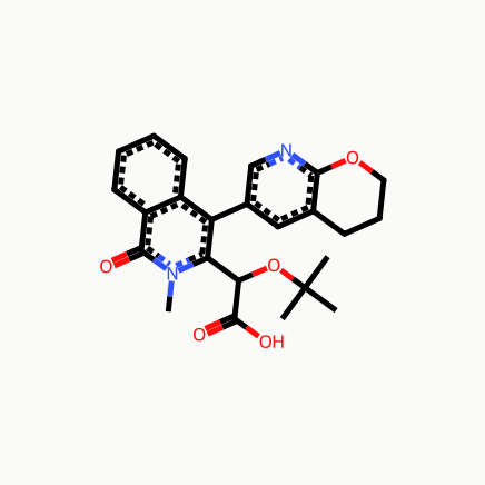 Cn1c(C(OC(C)(C)C)C(=O)O)c(-c2cnc3c(c2)CCCO3)c2ccccc2c1=O